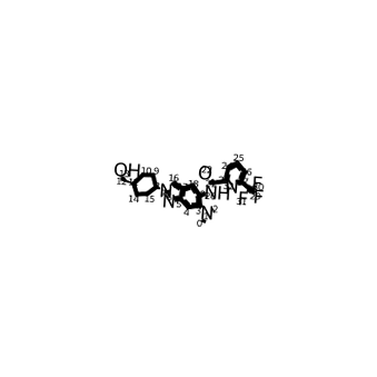 CN(C)c1cc2nn([C@H]3CC[C@H](CO)CC3)cc2cc1NC(=O)c1cccc(C(F)(F)F)n1